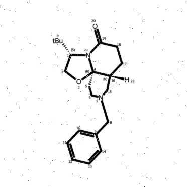 CC(C)(C)[C@H]1CO[C@]23CCN(Cc4ccccc4)C[C@H]2CCC(=O)N13